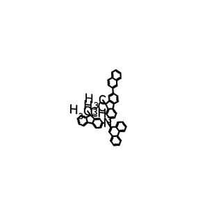 CC1(C)c2ccccc2-c2ccc(N(c3ccc4c(c3)C(C)(C)c3cc(-c5ccc6ccccc6c5)ccc3-4)c3cc4ccccc4c4ccccc34)cc21